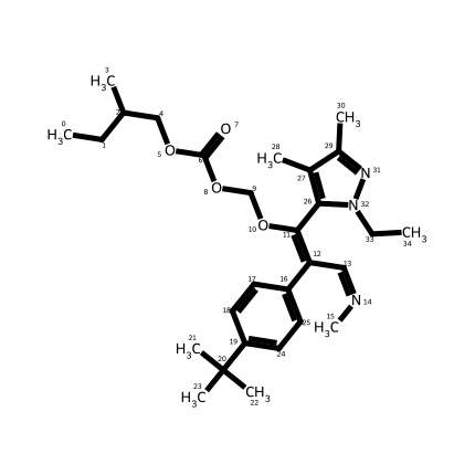 CCC(C)COC(=O)OCO/C(=C(/C=N\C)c1ccc(C(C)(C)C)cc1)c1c(C)c(C)nn1CC